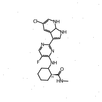 CNC(=O)[C@H]1CCCCC1Nc1nc(C2=CNC3NC=C(Cl)C=C23)ncc1F